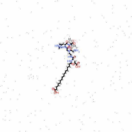 BC(=O)C(C)(C)NC(=O)[C@H](Cc1c[nH]cn1)NC(=O)CN(CCNC(=O)[C@H](CCC(=O)O)NC(=O)CCCCCCCCCCCCCCCCC(=O)O)C(=O)CN